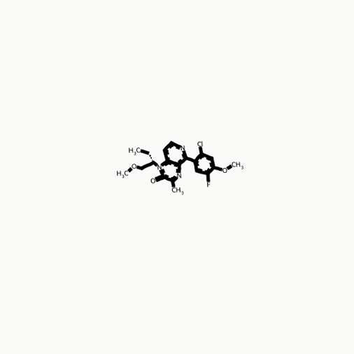 CC[C@@H](COC)n1c(=O)c(C)nc2c(-c3cc(F)c(OC)cc3Cl)nccc21